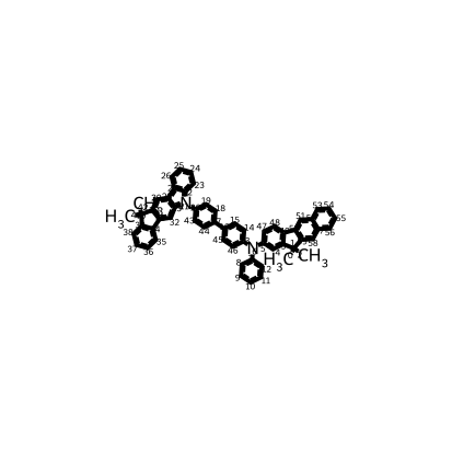 CC1(C)c2cc(N(c3ccccc3)c3ccc(-c4ccc(-n5c6ccccc6c6cc7c(cc65)-c5ccccc5C7(C)C)cc4)cc3)ccc2-c2cc3ccccc3cc21